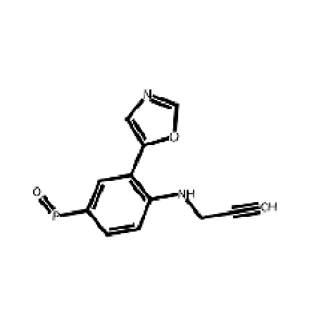 C#CCNc1ccc(P=O)cc1-c1cnco1